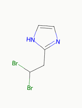 BrC(Br)Cc1ncc[nH]1